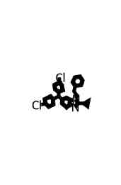 Clc1ccc(C(c2ccc(Cl)cc2)c2ccc3nc(C4CC4)n(CCc4ccccc4)c3c2)cc1